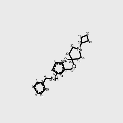 c1ccc(CNc2ccc3c(c2)COC2(CCN(C4CCC4)CC2)O3)cc1